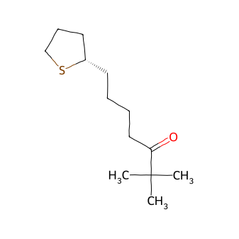 CC(C)(C)C(=O)CCCC[C@H]1CCCS1